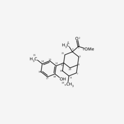 COC(=O)C1(C)CC2CC(C)CC(c3cc(C)ccc3O)(C2)C1